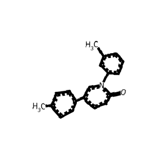 Cc1ccc(-c2ccc(=O)n(-c3cccc(C)c3)c2)cc1